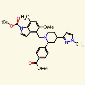 COC(=O)c1ccc([C@@H]2CC(c3ccn(C)n3)CCN2Cc2c(OC)cc(C)c3c2ccn3C(=O)OC(C)(C)C)cc1